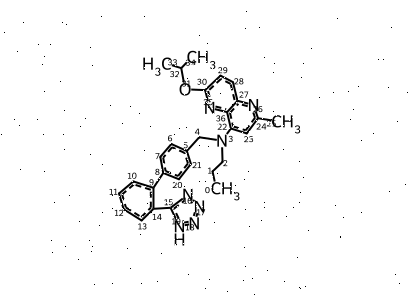 CCCN(Cc1ccc(-c2ccccc2-c2nnn[nH]2)cc1)c1cc(C)nc2ccc(OC(C)C)nc12